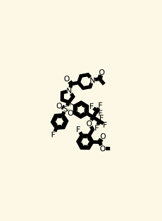 COC(=O)c1cccc(F)c1COC(c1ccc([C@]2(S(=O)(=O)c3ccc(F)cc3)CCN(C(=O)C3CCN(C(C)=O)CC3)C2)cc1)(C(F)(F)F)C(F)(F)F